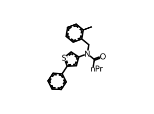 CCCC(=O)N(Cc1ccccc1C)c1csc(-c2ccccc2)c1